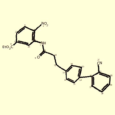 CCOC(=O)c1ccc([N+](=O)[O-])c(NC(=O)CCc2ccc(-c3ccccc3C#N)cc2)c1